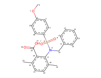 COc1ccc(S(=O)(=O)N(Cc2ccccc2)c2c(C)ccc(C)c2C(=O)O)cc1